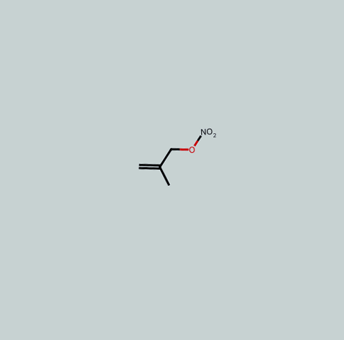 C=C(C)CO[N+](=O)[O-]